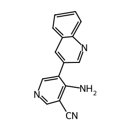 N#Cc1cncc(-c2cnc3ccccc3c2)c1N